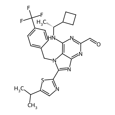 CC(C)c1cnc(-c2nc3nc(C=O)nc(N[C@H](C)C4CCC4)c3n2Cc2ccc(C(F)(F)F)cc2)s1